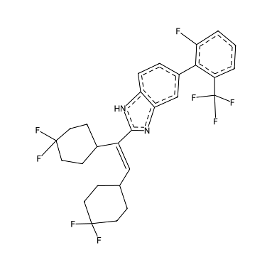 Fc1cccc(C(F)(F)F)c1-c1ccc2[nH]c(C(=CC3CCC(F)(F)CC3)C3CCC(F)(F)CC3)nc2c1